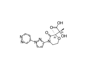 C[C@](O)(C(=O)O)[C@@]1(C)OCCN(c2ccn(-c3ccnnc3)n2)C1=O